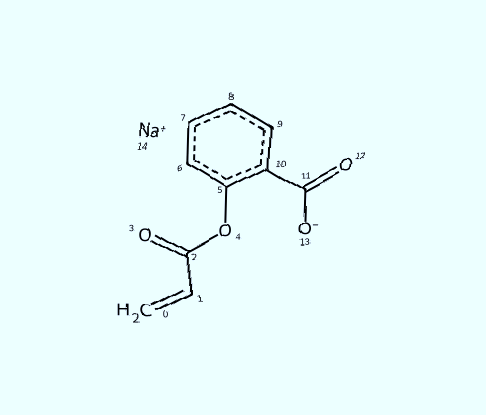 C=CC(=O)Oc1ccccc1C(=O)[O-].[Na+]